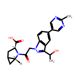 Cc1ncc(-c2ccc3c(c2)c(C(C)O)nn3CC(=O)N2[C@@H]3CC3C[C@H]2C(=O)O)cn1